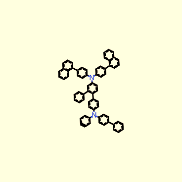 c1ccc(N(c2ccc(-c3ccccc3)cc2)c2ccc(-c3ccc(N(c4ccc(-c5cccc6ccccc56)cc4)c4ccc(-c5cccc6ccccc56)cc4)cc3-c3ccccc3)cc2)cc#1